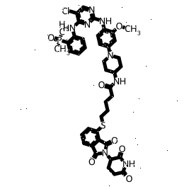 COc1cc(N2CCC(NC(=O)CCCCSc3cccc4c3C(=O)N(C3CCC(=O)NC3=O)C4=O)CC2)ccc1Nc1ncc(Cl)c(Nc2ccccc2P(C)(C)=O)n1